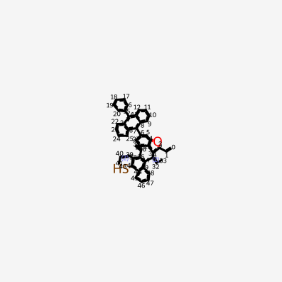 C=Cc1oc2cc(-c3c4ccccc4c(-c4ccccc4)c4ccccc34)ccc2c1/C(=C\C)c1c(C=C)c(/C=C\C)c(S)c2ccccc12